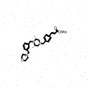 COC(=O)C=Cc1ccc(CN2C[C@@H](C)N(Cc3cccc(CN4CCOCC4)c3)[C@@H](C)C2)cc1